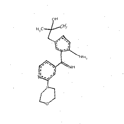 CC(C)(O)Cc1ccc(N)c(C(=N)c2ccnc(N3CCOCC3)c2)c1